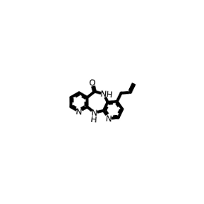 C=CCc1ccnc2c1NC(=O)c1cccnc1N2